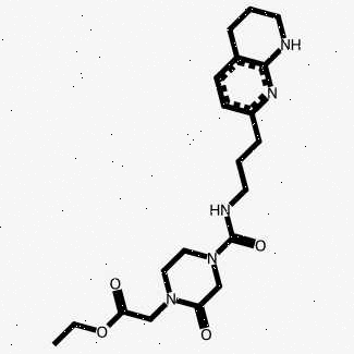 CCOC(=O)CN1CCN(C(=O)NCCCc2ccc3c(n2)NCCC3)CC1=O